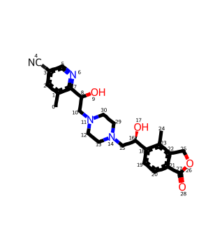 Cc1cc(C#N)cnc1C(O)CN1CCN(C[C@@H](O)c2ccc3c(c2C)COC3=O)CC1